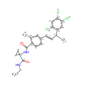 O=C(NC1(C(=O)NCC(F)(F)F)CC1)c1ccc(/C=C/C(c2cc(Cl)c(Cl)cc2Cl)C(F)(F)F)cc1C(F)(F)F